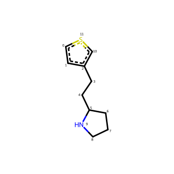 c1cc(CCC2CCCN2)cs1